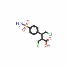 NS(=O)(=O)c1ccc(C(CCl)C(CCl)C(=O)O)cc1